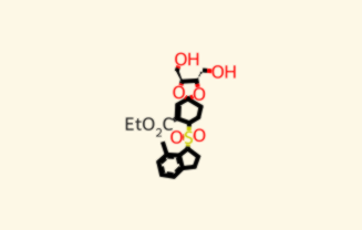 CCOC(=O)C1=CC2(CCC1S(=O)(=O)C1CCc3cccc(C)c31)O[C@@H](CO)[C@H](CO)O2